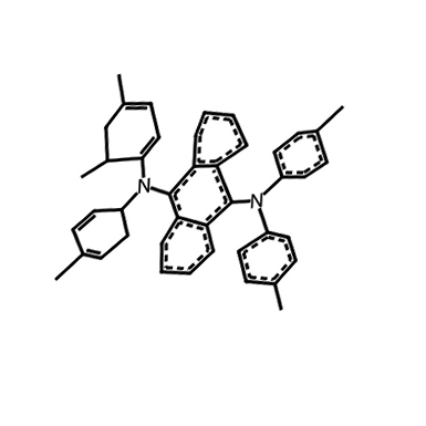 CC1=CCC(N(C2=CC=C(C)CC2C)c2c3ccccc3c(N(c3ccc(C)cc3)c3ccc(C)cc3)c3ccccc23)C=C1